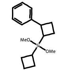 CO[Si](OC)(C1CCC1)C1CCC1c1ccccc1